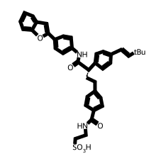 CC(C)(C)/C=C/c1ccc([C@H](CCc2ccc(C(=O)NCCS(=O)(=O)O)cc2)C(=O)Nc2ccc(-c3cc4ccccc4o3)cc2)cc1